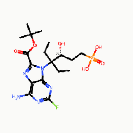 CCC(CC)([C@H](O)CCP(=O)(O)O)n1c(C(=O)OC(C)(C)C)nc2c(N)nc(F)nc21